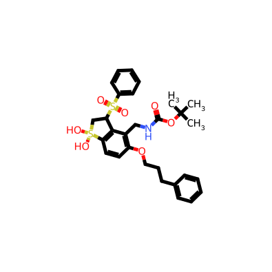 CC(C)(C)OC(=O)NCc1c(OCCCc2ccccc2)ccc2c1C(S(=O)(=O)c1ccccc1)CS2(O)O